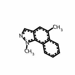 Cc1cc2cnn(C)c2c2ccccc12